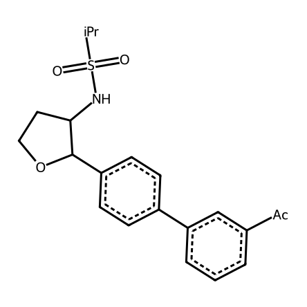 CC(=O)c1cccc(-c2ccc(C3OCCC3NS(=O)(=O)C(C)C)cc2)c1